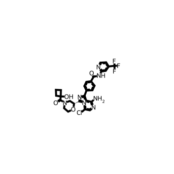 Nc1ncc(Cl)n2c([C@H]3CN(C(=O)C4(O)CCC4)CCO3)nc(-c3ccc(C(=O)Nc4cc(C(F)(F)F)ccn4)cc3)c12